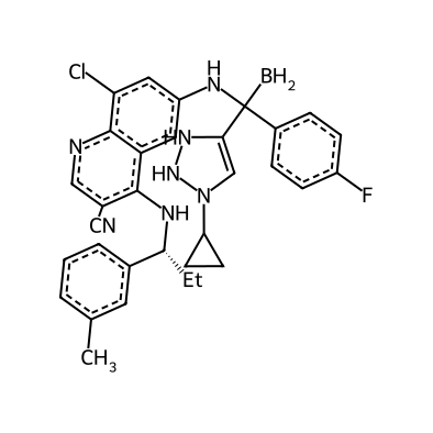 BC(Nc1cc(Cl)c2ncc(C#N)c(N[C@H](CC)c3cccc(C)c3)c2c1)(C1=CN(C2CC2)NN1)c1ccc(F)cc1